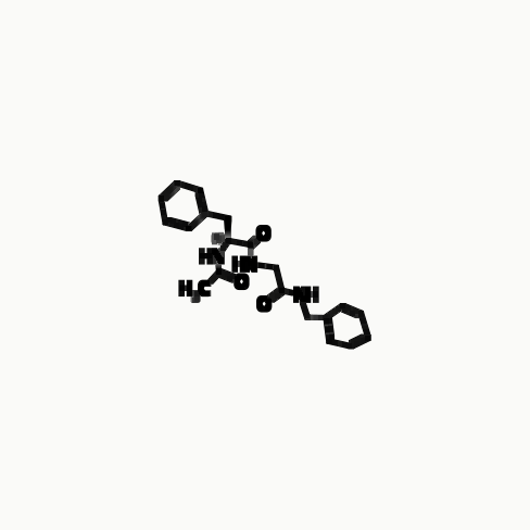 CC(=O)N[C@@H](Cc1ccccc1)C(=O)NCC(=O)NCc1ccccc1